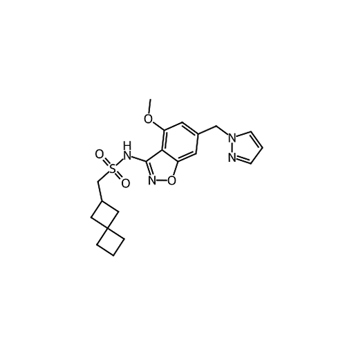 COc1cc(Cn2cccn2)cc2onc(NS(=O)(=O)CC3CC4(CCC4)C3)c12